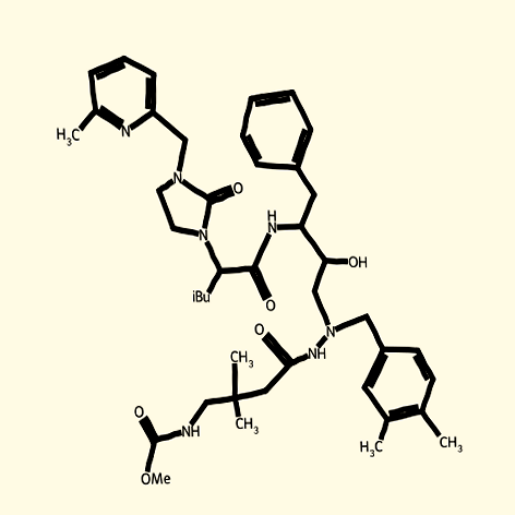 CCC(C)C(C(=O)NC(Cc1ccccc1)C(O)CN(Cc1ccc(C)c(C)c1)NC(=O)CC(C)(C)CNC(=O)OC)N1CCN(Cc2cccc(C)n2)C1=O